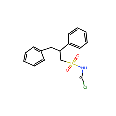 O=S(=O)(CC(Cc1ccccc1)c1ccccc1)[NH][Ru][Cl]